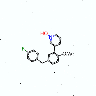 COc1ccc(Cc2ccc(F)cc2)cc1-c1ccc[n+](O)c1